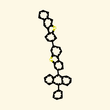 c1ccc(-c2c3ccccc3c(-c3ccc4c(c3)sc3cc(-c5ccc6c(c5)sc5cc7ccccc7cc56)ccc34)c3ccccc23)cc1